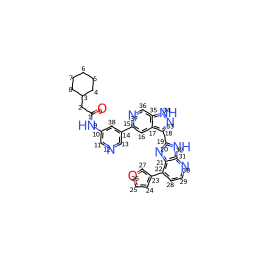 O=C(CC1CCCCC1)Nc1cncc(-c2cc3c(-c4nc5c(-c6ccoc6)ccnc5[nH]4)n[nH]c3cn2)c1